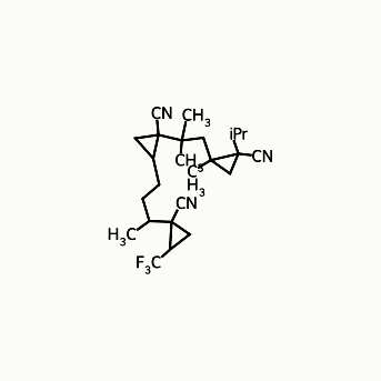 CC(CCC1CC1(C#N)C(C)(C)CC1(C)CC1(C#N)C(C)C)C1(C#N)CC1C(F)(F)F